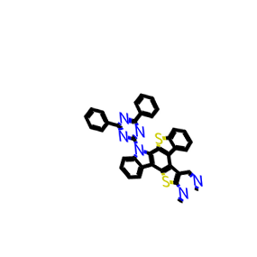 C=Nc1sc2c(c1/C=N\C)c1c3ccccc3sc1c1c2c2ccccc2n1-c1nc(-c2ccccc2)nc(-c2ccccc2)n1